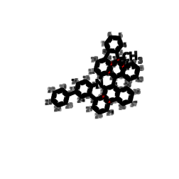 CC1(C)c2ccccc2-c2ccc(N(c3ccc(-c4ccccc4)cc3-c3ccccc3)c3ccc4ccccc4c3-c3cccc4ccccc34)cc21